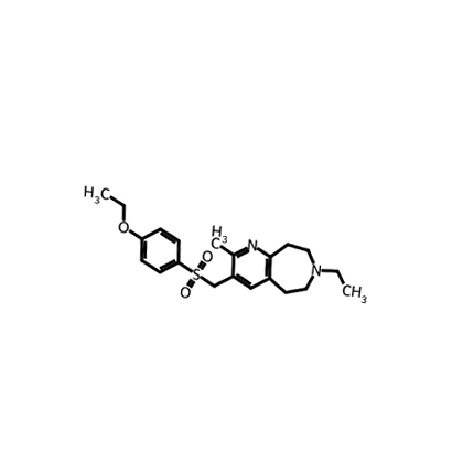 CCOc1ccc(S(=O)(=O)Cc2cc3c(nc2C)CCN(CC)CC3)cc1